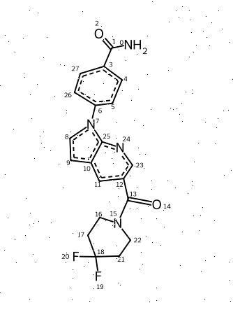 NC(=O)c1ccc(-n2ccc3cc(C(=O)N4CCC(F)(F)CC4)cnc32)cc1